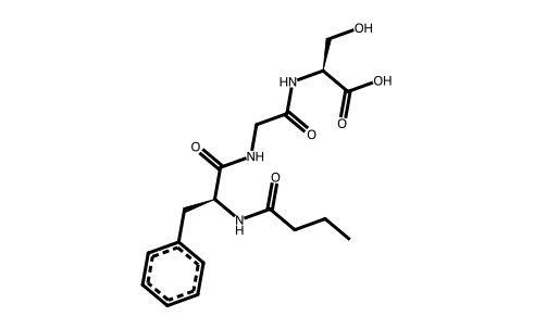 CCCC(=O)N[C@@H](Cc1ccccc1)C(=O)NCC(=O)N[C@@H](CO)C(=O)O